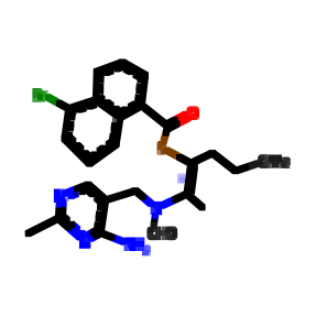 COCC/C(SC(=O)c1cccc2c(Br)cccc12)=C(\C)N(C=O)Cc1cnc(C)nc1N